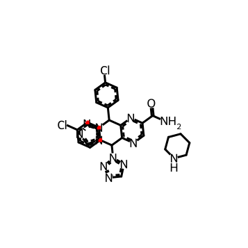 C1CCNCC1.NC(=O)c1cnc(C(c2ccc(Cl)cc2)n2ncnn2)c(C(c2ccc(Cl)cc2)n2ncnn2)n1